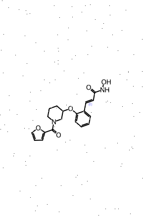 O=C(/C=C/c1ccccc1OC1CCCN(C(=O)c2ccco2)C1)NO